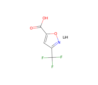 O=C(O)c1cc(C(F)(F)F)no1.[LiH]